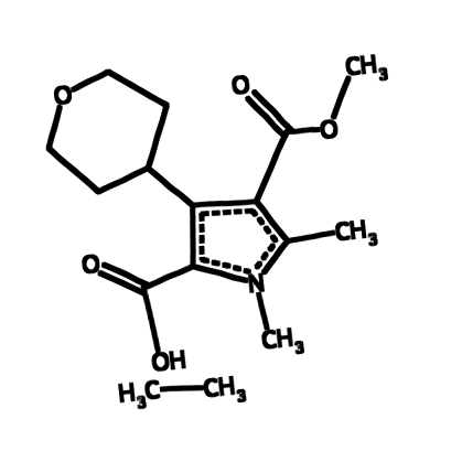 CC.COC(=O)c1c(C2CCOCC2)c(C(=O)O)n(C)c1C